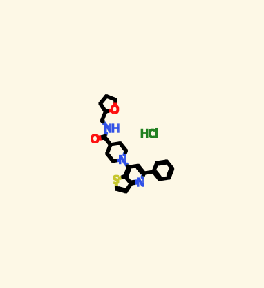 Cl.O=C(NCC1CCCO1)C1CCN(c2cc(-c3ccccc3)nc3ccsc23)CC1